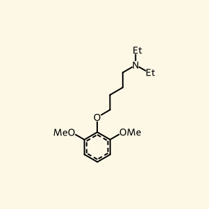 CCN(CC)CCCCOc1c(OC)cccc1OC